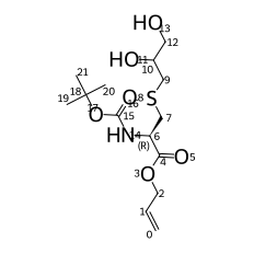 C=CCOC(=O)[C@H](CSCC(O)CO)NC(=O)OC(C)(C)C